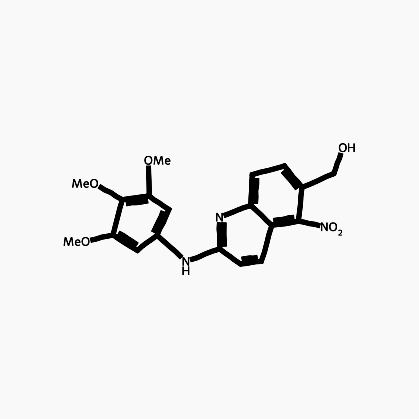 COc1cc(Nc2ccc3c([N+](=O)[O-])c(CO)ccc3n2)cc(OC)c1OC